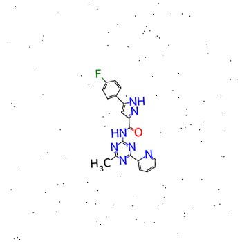 Cc1nc(NC(=O)c2cc(-c3ccc(F)cc3)[nH]n2)nc(-c2ccccn2)n1